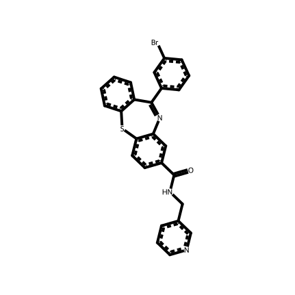 O=C(NCc1cccnc1)c1ccc2c(c1)N=C(c1cccc(Br)c1)c1ccccc1S2